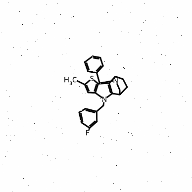 Cc1cc2c(s1)c1c(n2Cc2cccc(F)c2)C2CCC1N(Cc1ccccc1)C2